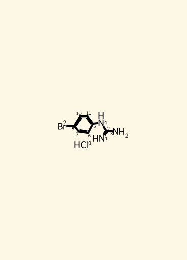 Cl.N=C(N)Nc1ccc(Br)cc1